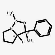 CP1O[C@](C)(c2ccccc2)[C@@H]2CCCN21